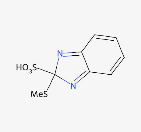 CSC1(S(=O)(=O)O)N=c2ccccc2=N1